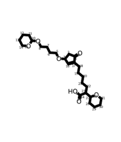 O=C1CC(OCCCCOC2CCCCO2)C=C1CCCCCC(C(=O)O)C1CCCCO1